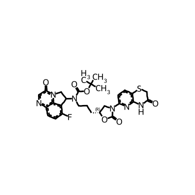 CC(C)(C)OC(=O)N(CCC[C@@H]1CN(c2ccc3c(n2)NC(=O)CS3)C(=O)O1)C1Cn2c(=O)cnc3ccc(F)c1c32